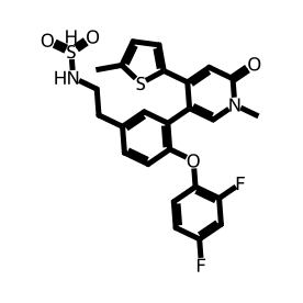 Cc1ccc(-c2cc(=O)n(C)cc2-c2cc(CCN[SH](=O)=O)ccc2Oc2ccc(F)cc2F)s1